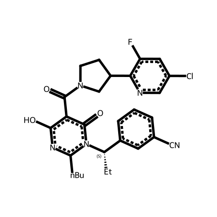 CCCCc1nc(O)c(C(=O)N2CCC(c3ncc(Cl)cc3F)C2)c(=O)n1[C@@H](CC)c1cccc(C#N)c1